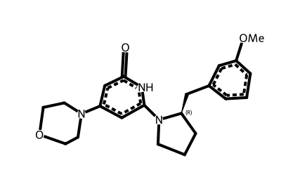 COc1cccc(C[C@H]2CCCN2c2cc(N3CCOCC3)cc(=O)[nH]2)c1